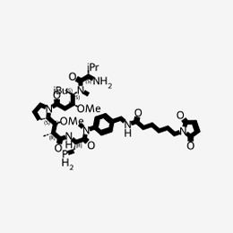 CC[C@H](C)[C@@H]([C@@H](CC(=O)N1CCC[C@H]1[C@H](OC)[C@@H](C)C(=O)N[C@@H](CP)C(=O)N(C)c1ccc(CNC(=O)CCCCCN2C(=O)C=CC2=O)cc1)OC)N(C)C(=O)[C@@H](N)C(C)C